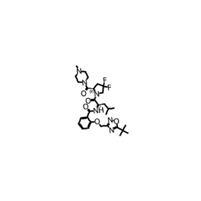 CC(C)C[C@@H](NC(=O)c1ccccc1OCc1noc(C(C)(C)C)n1)C(=O)N1CC(F)(F)C[C@@H]1C(=O)N1CCN(C)CC1